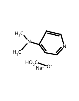 CN(C)c1ccncc1.O=C([O-])O.[Na+]